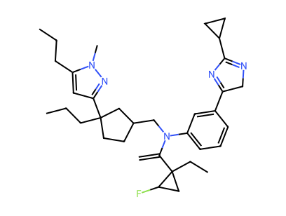 C=C(N(CC1CCC(CCC)(c2cc(CCC)n(C)n2)C1)c1cccc(C2=NC(C3CC3)=NC2)c1)C1(CC)CC1F